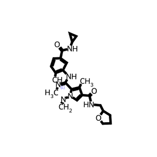 C=Nn1cc(C(=O)NCC2CCCO2)c(C)c1/C(=N\C)Nc1cc(C(=O)NC2CC2)ccc1C